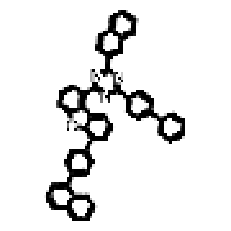 c1ccc(-c2ccc(-c3nc(-c4ccc5ccccc5c4)nc(-c4cccc5oc6c(-c7ccc(-c8cccc9ccccc89)cc7)cccc6c45)n3)cc2)cc1